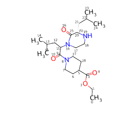 CCOC(=O)C1CCN(C(=O)C(CC(C)C)N2CCN[C@@H](CC(C)C)C2=O)CC1